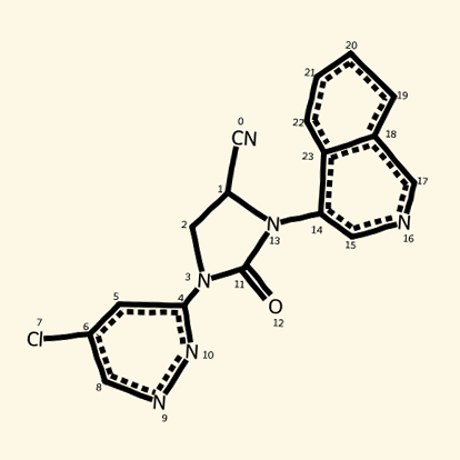 N#CC1CN(c2cc(Cl)cnn2)C(=O)N1c1cncc2ccccc12